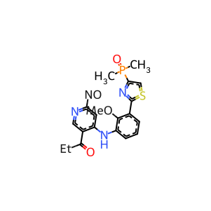 CCC(=O)c1cnc(N=O)cc1Nc1cccc(-c2nc(P(C)(C)=O)cs2)c1OC